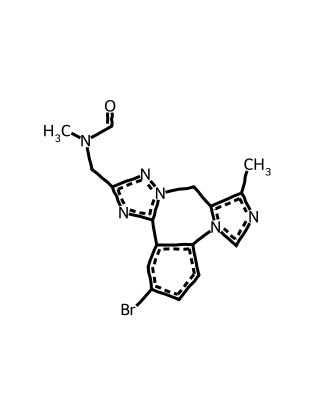 Cc1ncn2c1Cn1nc(CN(C)C=O)nc1-c1cc(Br)ccc1-2